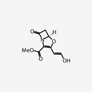 COC(=O)C1=C(C=CO)O[C@@H]2CC(=O)N12